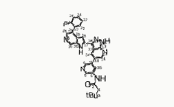 CC(C)(C)CC(=O)Nc1cncc(-c2cnc3[nH]nc(-c4cc5c(-c6ccccc6F)cncc5[nH]4)c3c2)c1